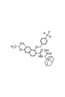 CC(C)Oc1ccc2c(OCc3ccc(C(F)(F)F)cc3)c(C(=O)N[C@H](C(=O)O)C34CC5CC(CC(C5)C3)C4)ccc2c1